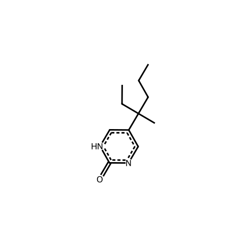 CCCC(C)(CC)c1cnc(=O)[nH]c1